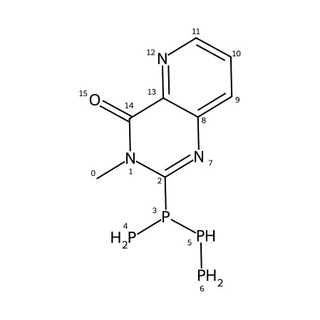 Cn1c(P(P)PP)nc2cccnc2c1=O